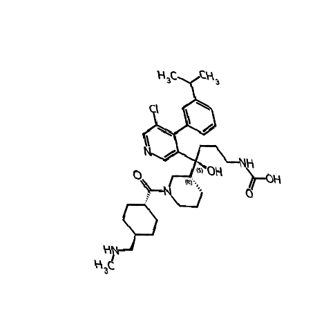 CNC[C@H]1CC[C@H](C(=O)N2CCC[C@@H]([C@@](O)(CCCNC(=O)O)c3cncc(Cl)c3-c3cccc(C(C)C)c3)C2)CC1